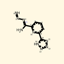 N=N/N=C(\N)c1cccc(-c2nnn[nH]2)n1